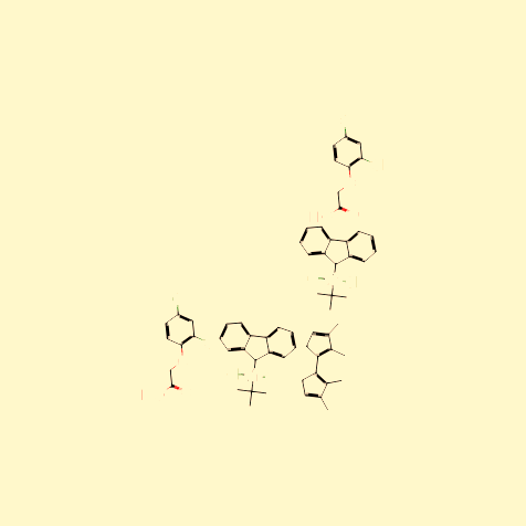 CC1=CCC(C2=C(C)C(C)=CC2)=C1C.C[C](C)(C)[Zr]([Cl])([Cl])[CH]1c2ccccc2-c2ccccc21.C[C](C)(C)[Zr]([Cl])([Cl])[CH]1c2ccccc2-c2ccccc21.O=C(O)COc1ccc(Cl)cc1Cl.O=C(O)COc1ccc(Cl)cc1Cl